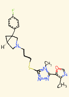 Cc1ncoc1-c1nnc(SCCCN2C[C@H]3CC3(c3ccc(F)cc3)C2)n1C